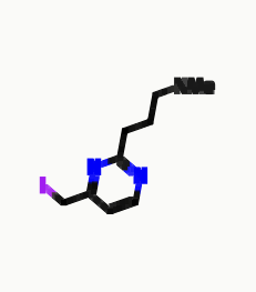 CNCCCc1nccc(CI)n1